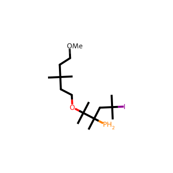 COCCC(C)(C)CCOC(C)(C)C(C)(P)CC(C)(C)I